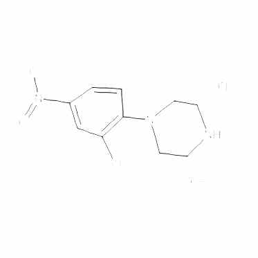 C[C@@H]1CN(c2ccc([N+](=O)[O-])cc2Cl)C[C@H](C)N1